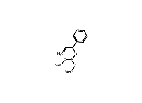 C=CC(OP(OOC)OOC)c1ccccc1